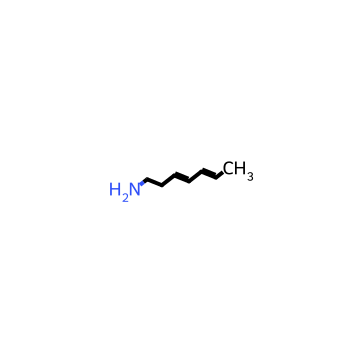 CC=CC=CCCN